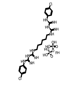 F.N=C(NCCCCCCNC(=N)NC(=N)Nc1ccc(Cl)cc1)NC(=N)Nc1ccc(Cl)cc1.O=P(O)(O)OP(=O)(O)O